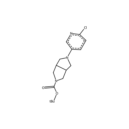 CC(C)(C)OC(=O)N1CC2CN(c3ccc(Cl)nc3)CC2C1